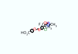 Cc1cnc(C(O)(C(C)c2ccc(OCCOc3ccc(C(=O)O)cc3)cc2Cl)C(F)(F)F)cn1